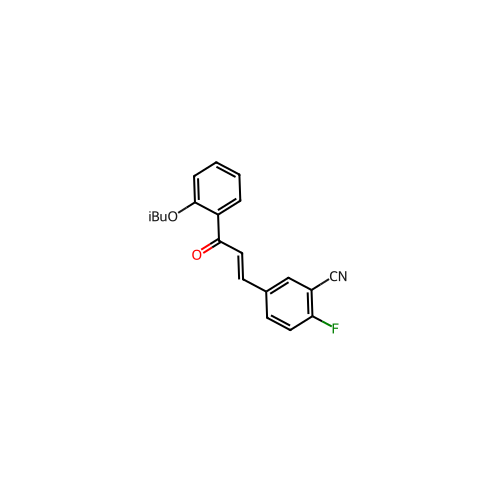 CC(C)COc1ccccc1C(=O)C=Cc1ccc(F)c(C#N)c1